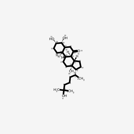 CC(CCCC(C)(C)O)[C@H]1CC[C@H]2[C@@H]3C(=O)CC4[C@@H](O)[C@@H](O)CC[C@]4(C)[C@H]3CC[C@]12C